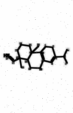 CC(C)C1=CC2=C(CC1)C1(C)CCCC(C)(C=N)C1CC2